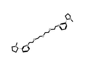 CN1CCC[C@H]1c1ccc[n+](CCOCCOCCOCC[n+]2cccc([C@@H]3CCCN3C)c2)c1